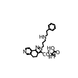 O=C(O)C(F)(F)F.O=C(O)c1c2c(nn1CCCNCCc1ccccc1)-c1ccncc1CC2